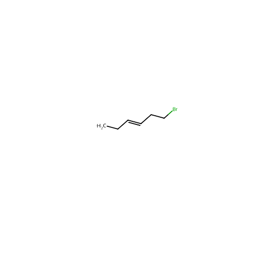 [CH2]C/C=C/CCBr